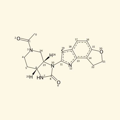 CC(=O)N1CC[C@H]2NC(=O)N(c3nc4c5c(ccc4s3)OCC5)[C@H]2C1